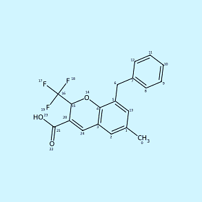 Cc1cc2c(c(Cc3ccccc3)c1)OC(C(F)(F)F)C(C(=O)O)=C2